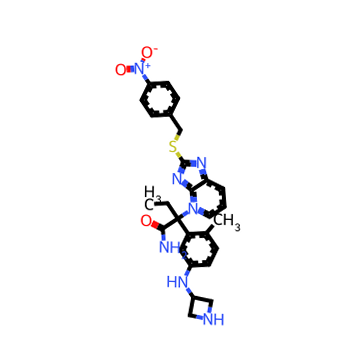 CCC(C(N)=O)(c1cc(NC2CNC2)ccc1C)n1cccc2nc(SCc3ccc([N+](=O)[O-])cc3)nc1-2